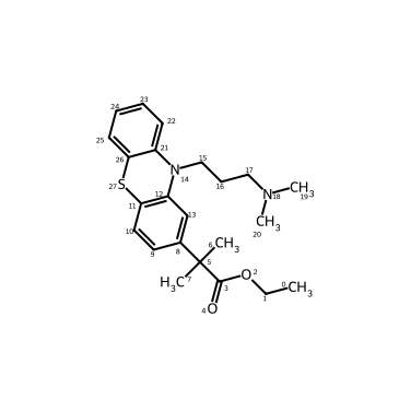 CCOC(=O)C(C)(C)c1ccc2c(c1)N(CCCN(C)C)c1ccccc1S2